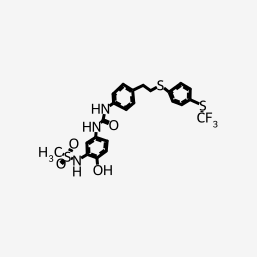 CS(=O)(=O)Nc1cc(NC(=O)Nc2ccc(CCSc3ccc(SC(F)(F)F)cc3)cc2)ccc1O